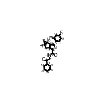 O=C(CNC(=O)c1nn(-c2ccc(F)cc2F)c2c1C[C@H]1C[C@@H]21)c1ccccc1